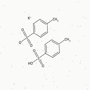 Cc1ccc(S(=O)(=O)O)cc1.Cc1ccc(S(=O)(=O)[O-])cc1.[K+]